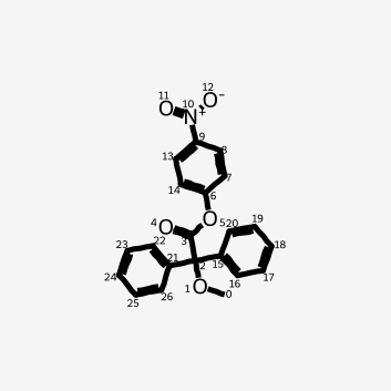 COC(C(=O)Oc1ccc([N+](=O)[O-])cc1)(c1ccccc1)c1ccccc1